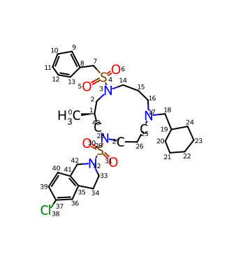 C[C@H]1CN(S(=O)(=O)Cc2ccccc2)CCCN(CC2CCCCC2)CCCN(S(=O)(=O)N2CCc3cc(Cl)ccc3C2)C1